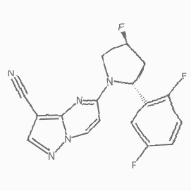 N#Cc1cnn2ccc(N3C[C@@H](F)C[C@@H]3c3cc(F)ccc3F)nc12